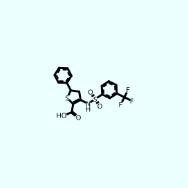 O=C(O)C1=C(NS(=O)(=O)c2cccc(C(F)(F)F)c2)CC(c2ccccc2)S1